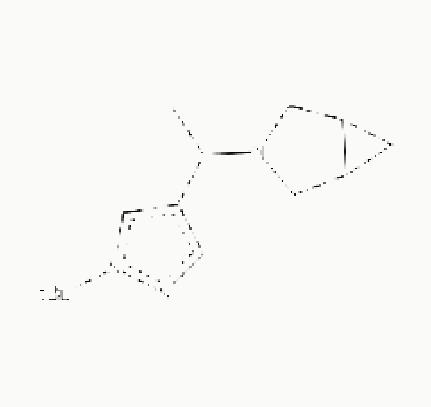 CC(c1cnn(C(C)(C)C)c1)N1CC2CC2C1